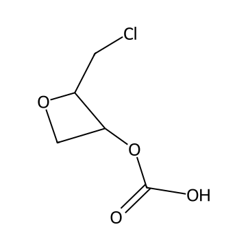 O=C(O)OC1COC1CCl